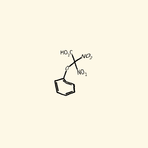 O=C(O)C(Oc1ccccc1)([N+](=O)[O-])[N+](=O)[O-]